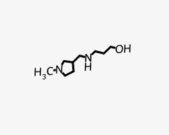 CN1CCC(CNCCCO)C1